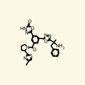 Cc1csc(C2CCCN2C(=O)c2cc(-c3nnc(C(C)(N)Cc4ccccc4)o3)cc(-c3n[nH]c(=O)o3)c2)n1